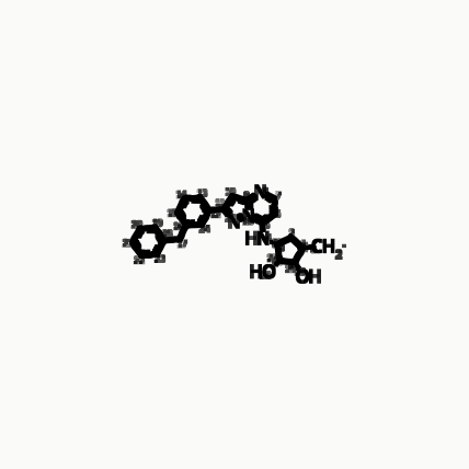 [CH2][C@@H]1C[C@@H](Nc2ccnc3cc(-c4cccc(Cc5ccccc5)c4)nn23)[C@H](O)[C@@H]1O